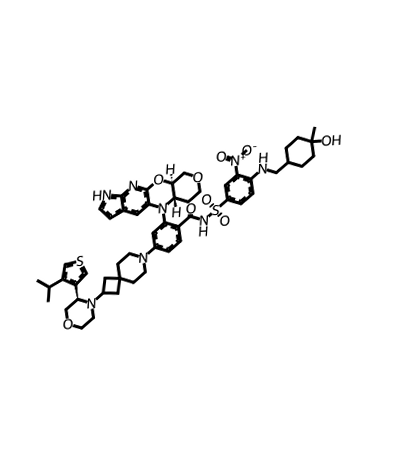 CC(C)c1cscc1[C@@H]1COCCN1C1CC2(CCN(c3ccc(C(=O)NS(=O)(=O)c4ccc(NCC5CCC(C)(O)CC5)c([N+](=O)[O-])c4)c(N4c5cc6cc[nH]c6nc5O[C@H]5COCC[C@@H]54)c3)CC2)C1